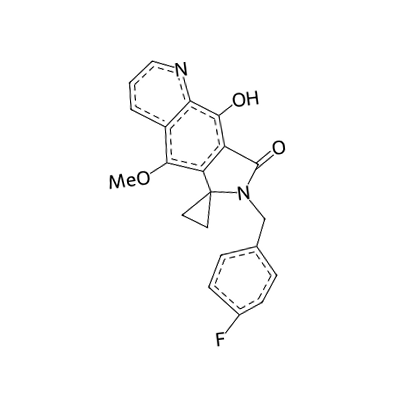 COc1c2c(c(O)c3ncccc13)C(=O)N(Cc1ccc(F)cc1)C21CC1